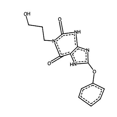 O=c1[nH]c2nc(Oc3ccccc3)[nH]c2c(=O)n1CCCO